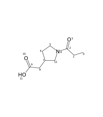 CCC(=O)N1CCC(CC(=O)O)C1